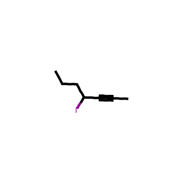 CC#C[C](I)CCC